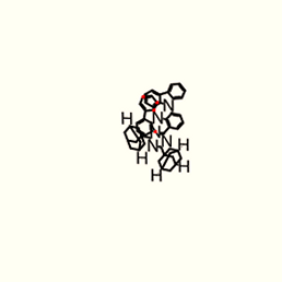 c1cc(-c2nc(C34CC5C[C@H](C3)C[C@@H](C5)C4)nc(C34C[C@H]5C[C@@H](C3)C[C@@H](C4)C5)n2)c(-n2c3ccccc3c3ccccc32)c(-n2c3ccccc3c3ccccc32)c1